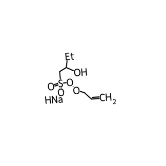 C=CCOOS(=O)(=O)CC(O)CC.[NaH]